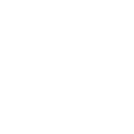 CCCCC(CC)OS(=O)(=O)O